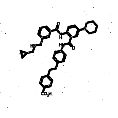 O=C(O)c1ccc(CCc2ccc(NC(=O)c3cc(N4CCCCC4)ccc3NC(=O)c3cccc(SNCC4CC4)c3)cc2)cc1